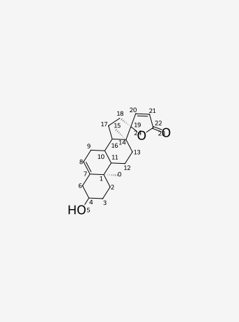 C[C@]12CCC(O)CC1=CCC1C2CC[C@@]2(C)C1CC[C@@]21C=CC(=O)O1